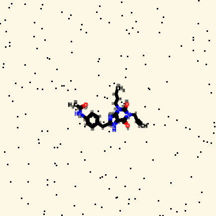 C#CCn1c(=O)c2[nH]c(Cc3ccc(NC(C)=O)cc3)nc2n(CCCC)c1=O